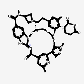 Cc1cc2cc(n1)-c1cnn(C)c1OCCC[C@@H](C)CN1/C(=N/C2=O)Nc2ccc(C(=O)N(C)C3CN(CCc4cc(F)c([C@H]5CCC(=O)NC5=O)c(F)c4)C3)cc21